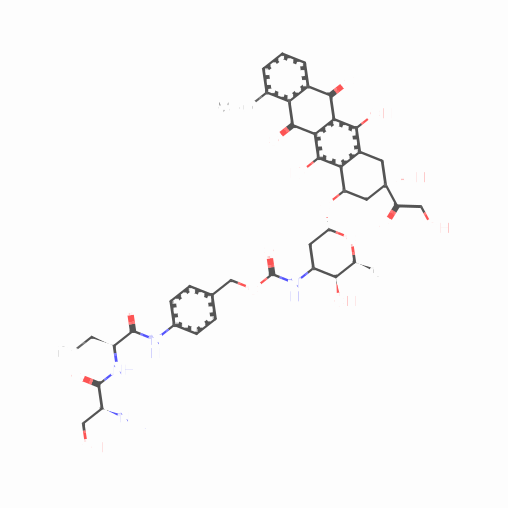 COc1cccc2c1C(=O)c1c(O)c3c(c(O)c1C2=O)C[C@@](O)(C(=O)CO)CC3O[C@H]1CC(NC(=O)OCc2ccc(NC(=O)[C@H](CC(C)C)NC(=O)[C@@H](N)CO)cc2)[C@H](O)[C@H](C)O1